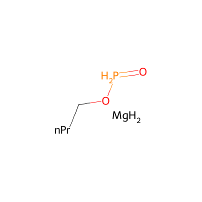 CCCCO[PH2]=O.[MgH2]